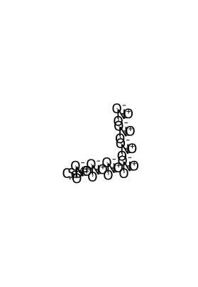 O=[N+]([O-])[O-].O=[N+]([O-])[O-].O=[N+]([O-])[O-].O=[N+]([O-])[O-].O=[N+]([O-])[O-].O=[N+]([O-])[O-].O=[N+]([O-])[O-].[Ce+4].[Sb+3]